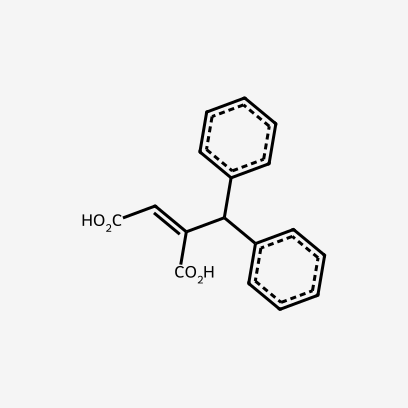 O=C(O)C=C(C(=O)O)C(c1ccccc1)c1ccccc1